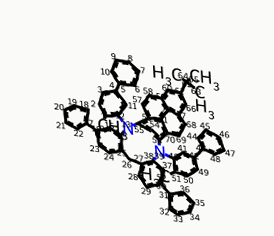 Cc1ccc(-c2ccccc2)cc1N1c2cc(-c3ccccc3)ccc2Cc2ccc(-c3ccccc3)cc2N(c2cc(-c3ccccc3)ccc2C)c2cc1c1ccc3cc(C(C)(C)C)cc4ccc2c1c34